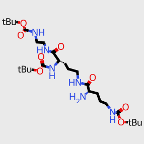 CC(C)(C)OC(=O)NCCC[C@@H](N)C(=O)NCCC[C@H](NC(=O)OC(C)(C)C)C(=O)NCCNC(=O)OC(C)(C)C